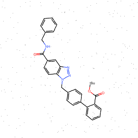 CC(C)(C)OC(=O)c1ccccc1-c1ccc(Cn2nnc3cc(C(=O)NCc4ccccc4)ccc32)cc1